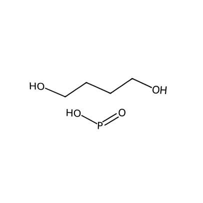 O=PO.OCCCCO